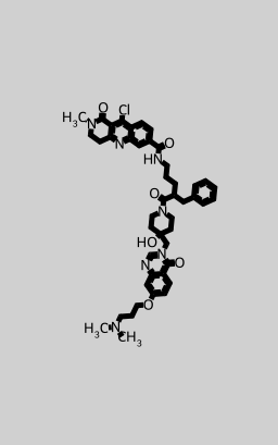 CN(C)CCCOc1ccc2c(=O)n(CC3(O)CCN(C(=O)C(CCCNC(=O)c4ccc5c(Cl)c6c(nc5c4)CCN(C)C6=O)Cc4ccccc4)CC3)cnc2c1